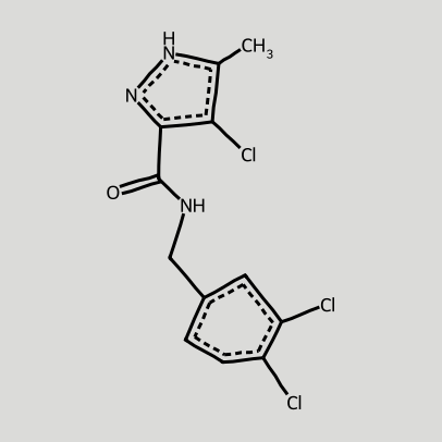 Cc1[nH]nc(C(=O)NCc2ccc(Cl)c(Cl)c2)c1Cl